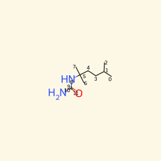 CC(C)CCC(C)(C)NC(N)=O